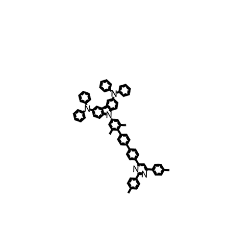 Cc1ccc(-c2cc(-c3ccc(-c4ccc(-c5c(C)cc(-n6c7ccc(N(c8ccccc8)c8ccccc8)cc7c7cc(N(c8ccccc8)c8ccccc8)ccc76)cc5C)cc4)cc3)nc(-c3ccc(C)cc3)n2)cc1